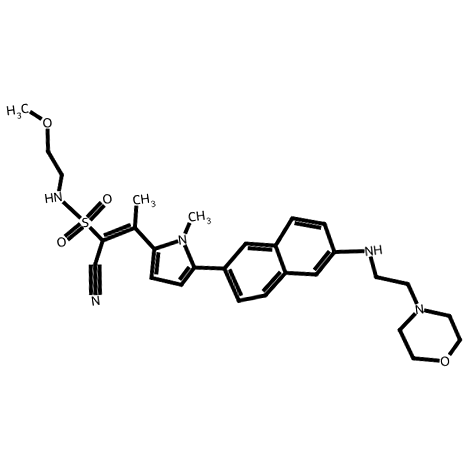 COCCNS(=O)(=O)/C(C#N)=C(\C)c1ccc(-c2ccc3cc(NCCN4CCOCC4)ccc3c2)n1C